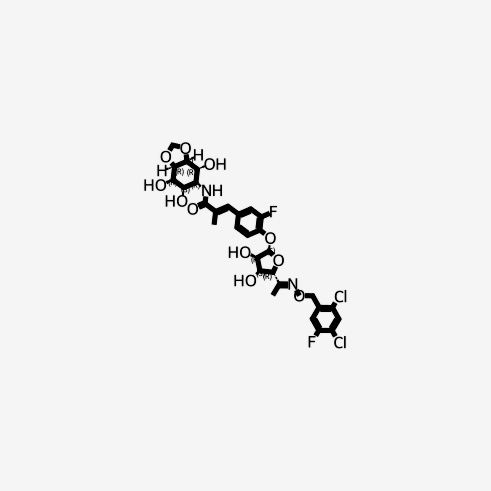 CC(=Cc1ccc(O[C@@H]2O[C@H](C(C)=NOCc3cc(F)c(Cl)cc3Cl)[C@@H](O)[C@H]2O)c(F)c1)C(=O)N[C@@H]1[C@H](O)[C@@H](O)[C@H]2OCO[C@H]2[C@@H]1O